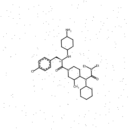 CCN(CC)C(=O)N(C1CCCCC1)C1CCN(C(=O)[C@@H](Cc2ccc(Cl)cc2)NC2CCC(N)CC2)CC1C